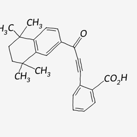 CC1(C)CCC(C)(C)c2cc(C(=O)C#Cc3ccccc3C(=O)O)ccc21